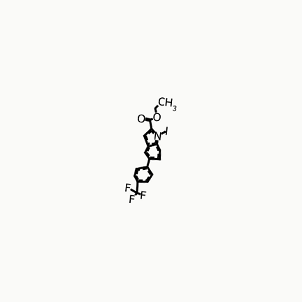 CCOC(=O)c1cc2cc(-c3ccc(C(F)(F)F)cc3)ccc2n1I